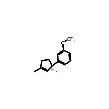 CC1=C[C@](C)(c2cccc(OC(F)(F)F)c2)CC1